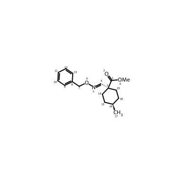 COC(=O)[C@]1(C=NOCc2ccccc2)CC[C@H](C)CC1